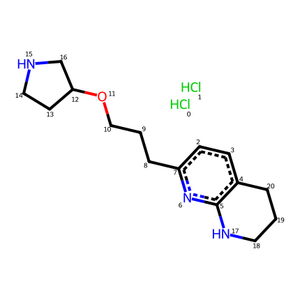 Cl.Cl.c1cc2c(nc1CCCOC1CCNC1)NCCC2